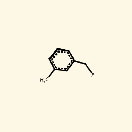 Cc1cccc(CF)c1